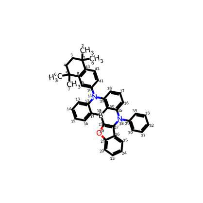 CC1(C)CCC(C)(C)c2cc(N3c4ccccc4B4c5oc6ccccc6c5N(c5ccccc5)c5cccc3c54)ccc21